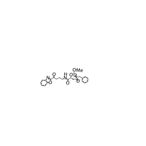 COCO[C@@H](CS(=O)(=O)Cc1ccccc1)C(=O)NCCCC(=O)c1nc2ccccc2o1